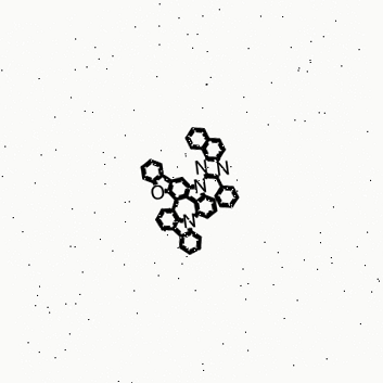 c1ccc(-c2nc3ccc4ccccc4c3nc2-n2c3cc4c5ccccc5oc4c4c5cccc6c7ccccc7n(c7cccc2c7c43)c65)cc1